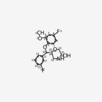 COc1cc(F)ccc1OC(c1cccc(F)c1)[C@@H]1CNCCO1.Cl